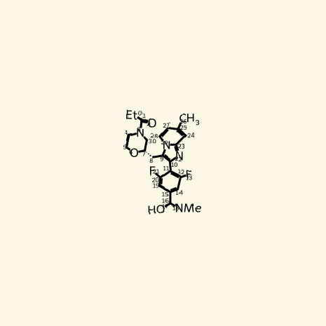 CCC(=O)N1CCO[C@@H](Cc2c(-c3c(F)cc(C(O)NC)cc3F)nc3cc(C)ccn23)C1